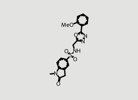 COc1ccccc1-c1nnc(CNS(=O)(=O)c2ccc3c(c2)CC(=O)N3C)o1